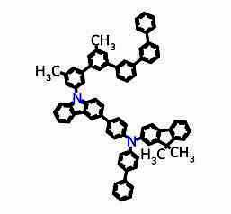 Cc1cc(-c2cccc(-c3cccc(-c4ccccc4)c3)c2)cc(-c2cc(C)cc(-n3c4ccccc4c4cc(-c5ccc(N(c6ccc(-c7ccccc7)cc6)c6ccc7c(c6)C(C)(C)c6ccccc6-7)cc5)ccc43)c2)c1